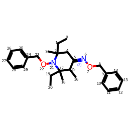 CCC1(C)C/C(=N/OCc2ccccc2)C(C)C(C)(CC)N1OCc1ccccc1